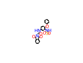 CS(=O)(=O)Nc1cc(NC(=O)CN2C(=O)c3ccccc3C2=O)ccc1Oc1ccccc1